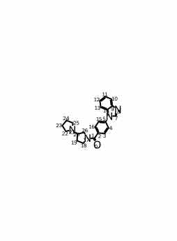 O=C(c1ccc(-n2cnc3ccccc32)cc1)N1CCC(N2CCCC2)C1